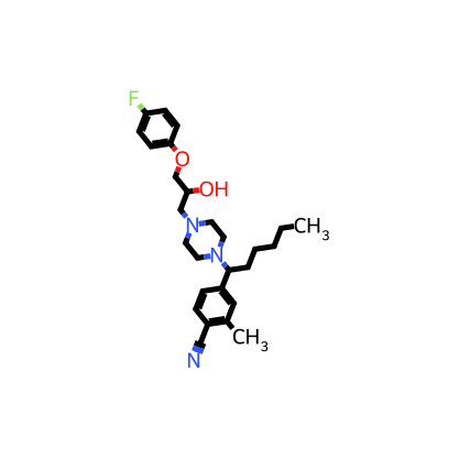 CCCCCC(c1ccc(C#N)c(C)c1)N1CCN(CC(O)COc2ccc(F)cc2)CC1